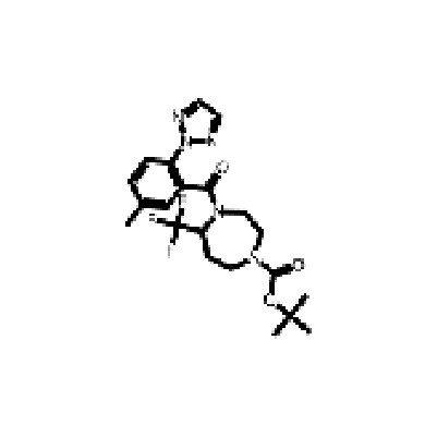 Cc1ccc(-n2nccn2)c(C(=O)N2CCN(C(=O)OC(C)(C)C)CCC2C(F)(F)F)c1